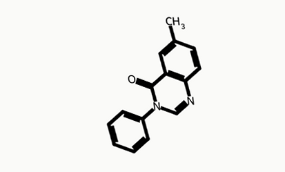 Cc1ccc2ncn(-c3ccccc3)c(=O)c2c1